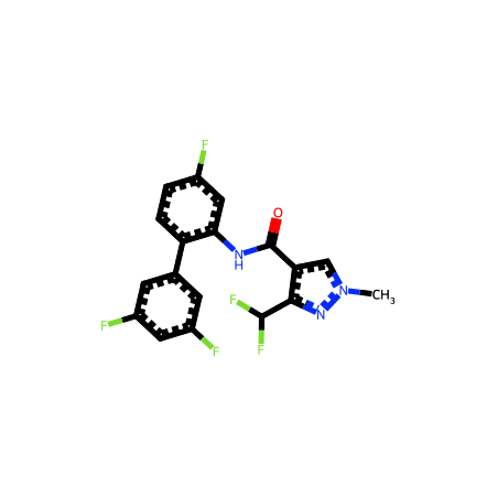 Cn1cc(C(=O)Nc2cc(F)ccc2-c2cc(F)cc(F)c2)c(C(F)F)n1